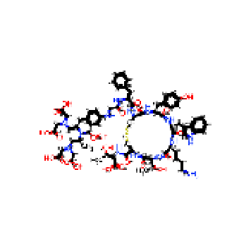 C[C@@H](O)[C@H](NC(=O)C1CSSCC(NC(=O)C(Cc2ccccc2)NC(=O)CNc2ccc(C[C@H](CN(CC(=O)O)CC(=O)O)N(COO)[C@@H](C)CN(CC(=O)O)CC(=O)O)cc2)C(=O)N[C@@H](Cc2ccc(O)cc2)C(=O)N[C@@H](Cc2c[nH]c3ccccc23)C(=O)N[C@@H](CCCCN)C(=O)N[C@@H]([C@@H](C)O)C(=O)N1)C(=O)O